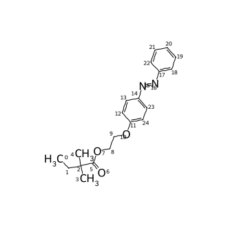 CCC(C)(C)C(=O)OCCOc1ccc(N=Nc2ccccc2)cc1